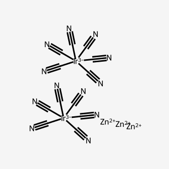 N#[C][Ir-3]([C]#N)([C]#N)([C]#N)([C]#N)[C]#N.N#[C][Ir-3]([C]#N)([C]#N)([C]#N)([C]#N)[C]#N.[Zn+2].[Zn+2].[Zn+2]